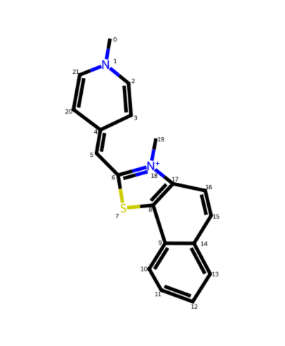 CN1C=CC(=Cc2sc3c4ccccc4ccc3[n+]2C)C=C1